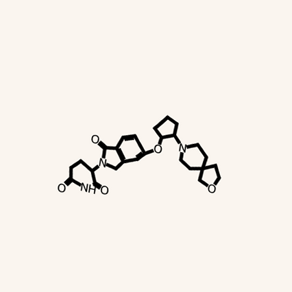 O=C1CCC(N2Cc3cc(OC4CCCC4N4CCC5(CCOC5)CC4)ccc3C2=O)C(=O)N1